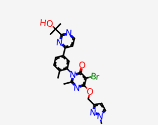 Cc1ccc(-c2ccnc(C(C)(C)O)n2)cc1-n1c(C)nc(OCc2ccn(C)n2)c(Br)c1=O